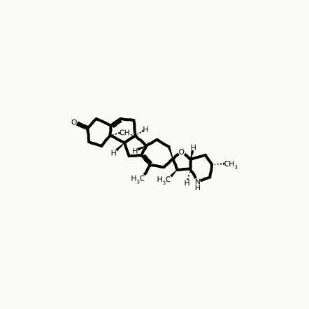 CC1=C2C[C@H]3[C@@H](CC=C4CC(=O)CC[C@@]43C)[C@@H]2CC[C@@]2(C1)O[C@@H]1C[C@H](C)CN[C@H]1[C@H]2C